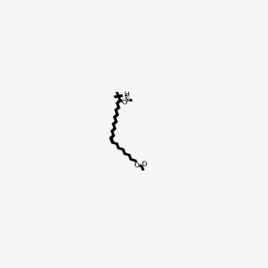 CC(=O)OCCCCCCC/C=C\CCCCCCCCCCC(O[SiH](C)C)C(C)(C)C